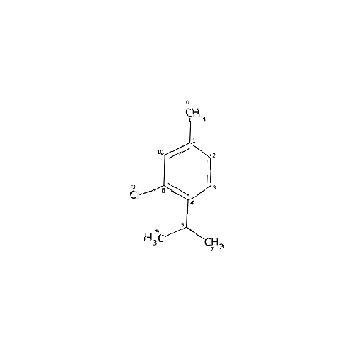 Cc1[c]cc(C(C)C)c(Cl)c1